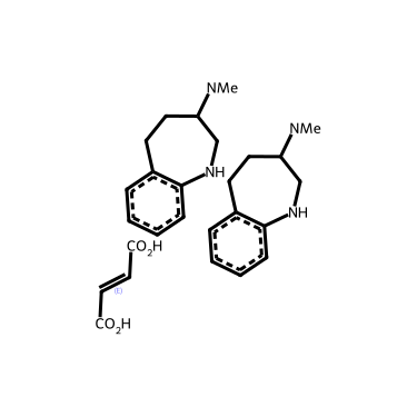 CNC1CCc2ccccc2NC1.CNC1CCc2ccccc2NC1.O=C(O)/C=C/C(=O)O